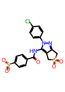 O=C(Nc1c2c(nn1-c1ccc(Cl)cc1)CS(=O)(=O)C2)c1ccc([SH](=O)=O)cc1